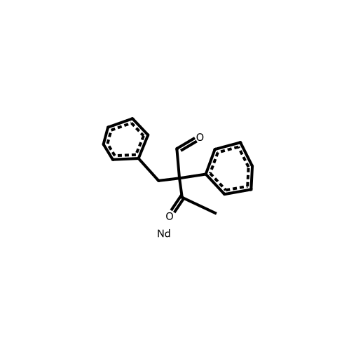 CC(=O)C(C=O)(Cc1ccccc1)c1ccccc1.[Nd]